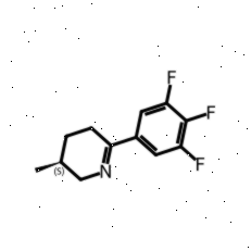 C[C@H]1CCC(c2cc(F)c(F)c(F)c2)=NC1